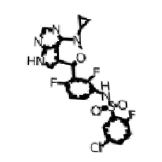 CN(c1ncnc2[nH]cc(C(=O)c3c(F)ccc(NS(=O)(=O)c4cc(Cl)ccc4F)c3F)c12)C1CC1